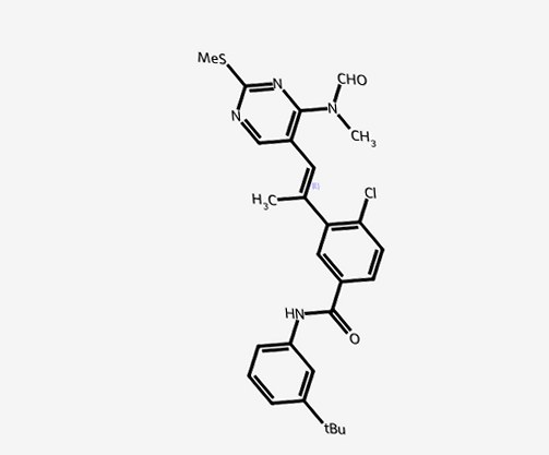 CSc1ncc(/C=C(\C)c2cc(C(=O)Nc3cccc(C(C)(C)C)c3)ccc2Cl)c(N(C)C=O)n1